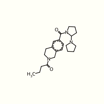 CCCC(=O)N1CCc2cc(C(=O)N3CCCC3N3CCCC3)ccc2C1